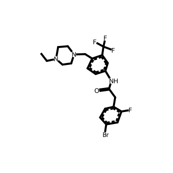 CCN1CCN(Cc2ccc(NC(=O)Cc3ccc(Br)cc3F)cc2C(F)(F)F)CC1